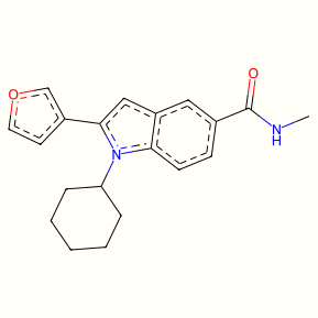 CNC(=O)c1ccc2c(c1)cc(-c1ccoc1)n2C1CCCCC1